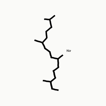 CCC(C)CCCC(C)CCCC(C)CCCC(C)C.[Na]